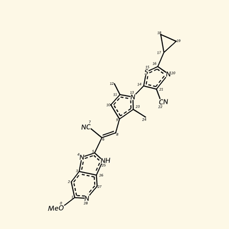 COc1cc2nc(/C(C#N)=C/c3cc(C)n(-c4sc(C5CC5)nc4C#N)c3C)[nH]c2cn1